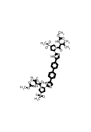 COC(=O)N[C@H](C(=O)N1C[C@@H](S(C)(=O)=O)C[C@H]1c1ncc(-c2ccc(-c3ccc(-c4cnc([C@@H]5C[C@H](S(C)(=O)=O)CN5C(=O)[C@H](NC(=O)OC)C(C)C)[nH]4)cc3)cc2)[nH]1)C(C)C